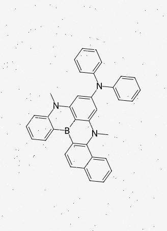 CN1c2ccccc2B2c3ccc4ccccc4c3N(C)c3cc(N(c4ccccc4)c4ccccc4)cc1c32